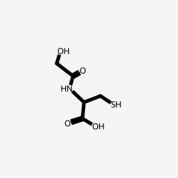 O=C(CO)NC(CS)C(=O)O